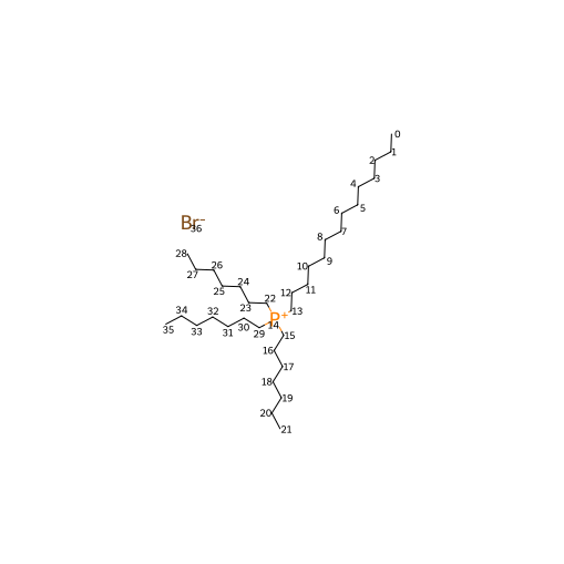 CCCCCCCCCCCCCC[P+](CCCCCCC)(CCCCCCC)CCCCCCC.[Br-]